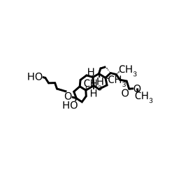 COC(=O)CC[C@@H](C)[C@H]1CC[C@H]2[C@@H]3CCC4C[C@@](O)(OCCCCCO)CC[C@]4(C)[C@H]3CC[C@]12C